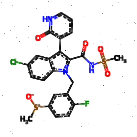 C[S+]([O-])c1ccc(F)c(Cn2c(C(=O)NS(C)(=O)=O)c(-c3ccc[nH]c3=O)c3cc(Cl)ccc32)c1